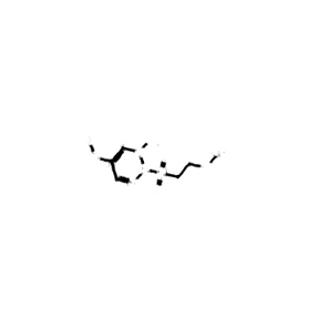 CC(C)OCCS(=O)(=O)N1N=CC(OC(C)C)=CB1O